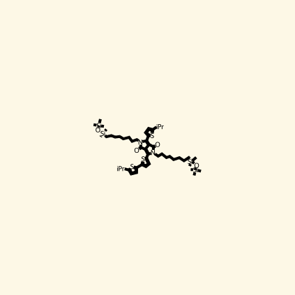 CC(C)c1ccc(C2=C3C(=O)N(CCCCCCCC[Si](C)(C)O[Si](C)(C)C)C(c4ccc(-c5ccc(C(C)C)s5)s4)=C3C(=O)N2CCCCCCCC[Si](C)(C)O[Si](C)(C)C)s1